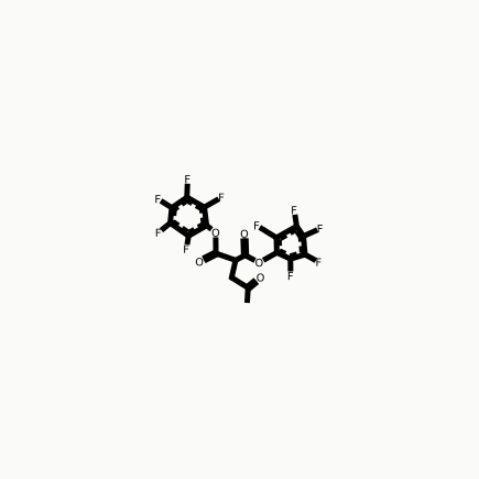 CC(=O)CC(C(=O)Oc1c(F)c(F)c(F)c(F)c1F)C(=O)Oc1c(F)c(F)c(F)c(F)c1F